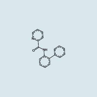 O=C(Nc1ccccc1-c1ccccc1)c1ccccn1